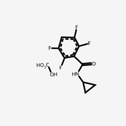 O=C(NC1CC1)c1c(F)c(F)cc(F)c1F.O=C(O)O